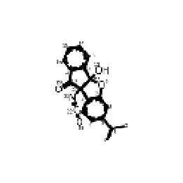 CC(C)c1ccc2c(c1)OC1(O)c3ccccc3C(=O)C21N=C=O